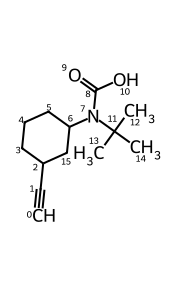 C#CC1CCCC(N(C(=O)O)C(C)(C)C)C1